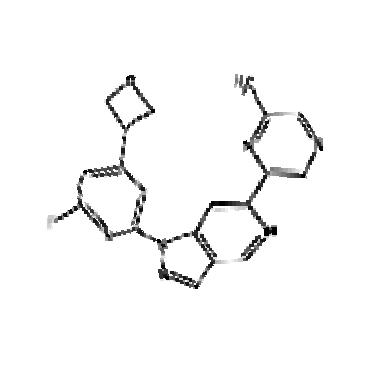 Cc1cncc(-c2cc3c(cn2)cnn3-c2cc(C3COC3)cc(F)n2)n1